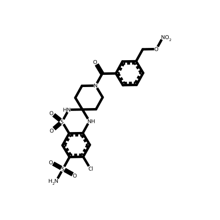 NS(=O)(=O)c1cc2c(cc1Cl)NC1(CCN(C(=O)c3cccc(CO[N+](=O)[O-])c3)CC1)NS2(=O)=O